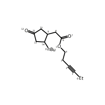 CCC#CCCOC(=O)CC1CC(=O)CC1CCCC